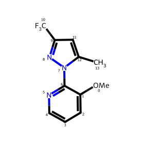 COc1cccnc1-n1nc(C(F)(F)F)cc1C